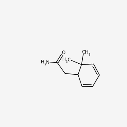 CC1(C)C=CC=CC1CC(N)=O